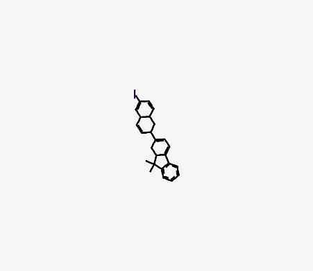 CC1(C)c2ccccc2C2=CC=C(C3C=CC4C=C(I)C=CC4C3)CC21